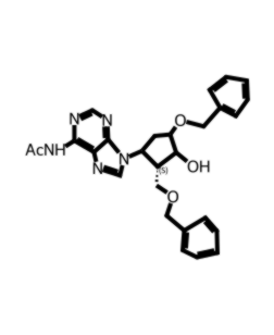 CC(=O)Nc1ncnc2c1ncn2C1CC(OCc2ccccc2)C(O)[C@@H]1COCc1ccccc1